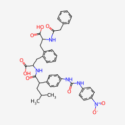 CC(C)CC(C(=O)NC(Cc1ccccc1CC(NC(=O)Cc1ccccc1)C(=O)O)C(=O)O)c1ccc(NC(=O)Nc2ccc([N+](=O)[O-])cc2)cc1